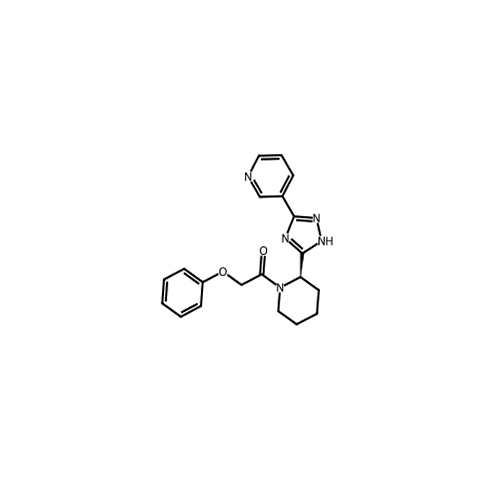 O=C(COc1ccccc1)N1CCCC[C@@H]1c1nc(-c2cccnc2)n[nH]1